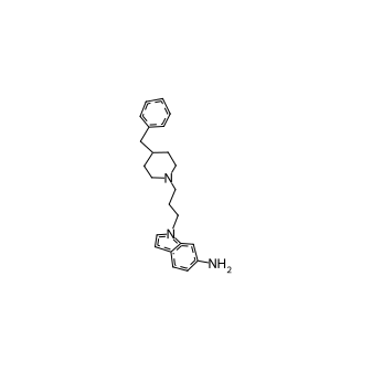 Nc1ccc2ccn(CCCN3CCC(Cc4ccccc4)CC3)c2c1